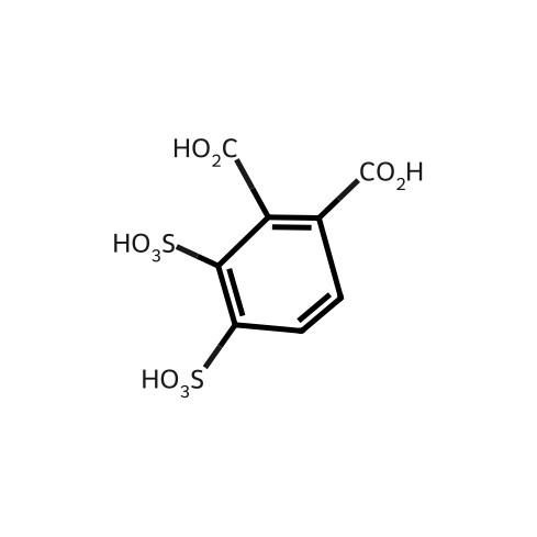 O=C(O)c1ccc(S(=O)(=O)O)c(S(=O)(=O)O)c1C(=O)O